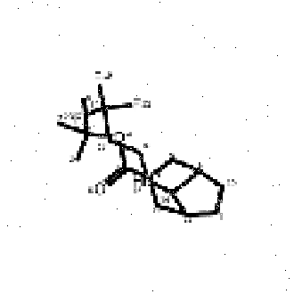 CC(C)(C)OC(=O)N1CC2CCC(C1)C2NCCC(F)(F)F